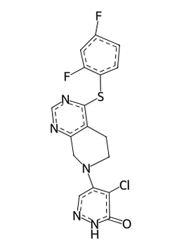 O=c1[nH]ncc(N2CCc3c(ncnc3Sc3ccc(F)cc3F)C2)c1Cl